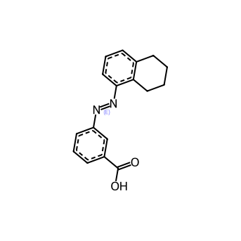 O=C(O)c1cccc(/N=N/c2cccc3c2CCCC3)c1